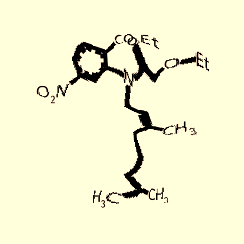 CCOCC(=O)N(CC=C(C)CCC=C(C)C)c1cc([N+](=O)[O-])ccc1C(=O)OCC